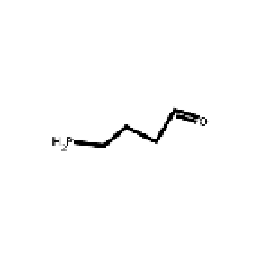 O=CCCCP